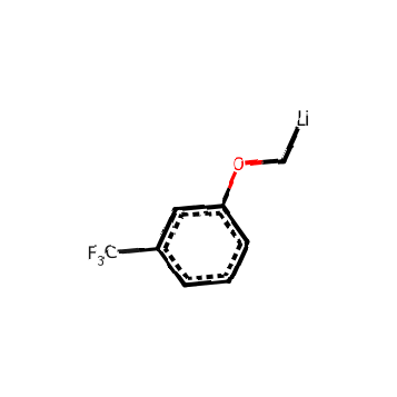 [Li][CH2]Oc1cccc(C(F)(F)F)c1